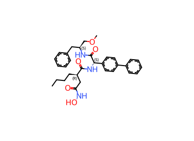 CCCC[C@H](CC(=O)NO)C(=O)N[C@H](C(=O)N[C@H](COC)Cc1ccccc1)c1ccc(-c2ccccc2)cc1